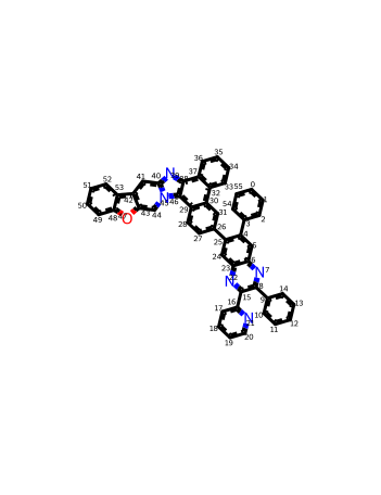 c1ccc(-c2cc3nc(-c4ccccc4)c(-c4ccccn4)nc3cc2-c2ccc3c(c2)c2ccccc2c2nc4cc5c(cn4c32)oc2ccccc25)cc1